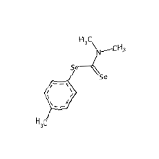 Cc1ccc([Se]C(=[Se])N(C)C)cc1